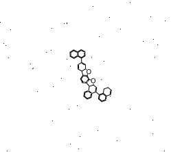 C1=Cc2cccc(C3=CC4Oc5c(ccc6c5OC5C=C(c7cccc8ccccc78)C=CC65)C4c4ccccc43)c2CC1